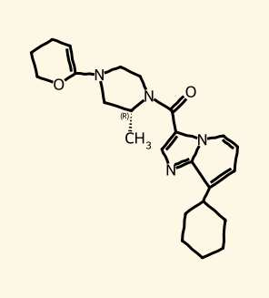 C[C@@H]1CN(C2=CCCCO2)CCN1C(=O)c1cnc2c(C3CCCCC3)cccn12